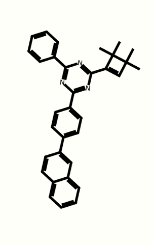 CC1(C)C=C(c2nc(-c3ccccc3)nc(-c3ccc(-c4ccc5ccccc5c4)cc3)n2)C1(C)C